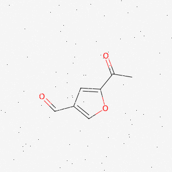 CC(=O)c1cc(C=O)co1